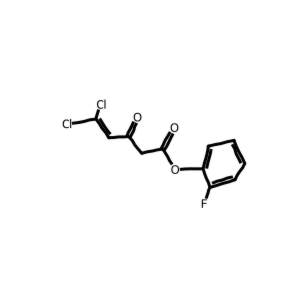 O=C(C=C(Cl)Cl)CC(=O)Oc1ccccc1F